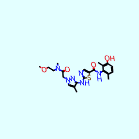 COCCN(C)C(=O)Cn1cc(C)c(Nc2ncc(C(=O)Nc3c(C)ccc(O)c3C)s2)n1